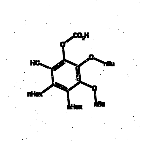 CCCCCCc1c(O)c(OC(=O)O)c(OCCCC)c(OCCCC)c1CCCCCC